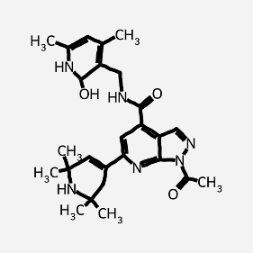 CC(=O)n1ncc2c(C(=O)NCC3=C(C)C=C(C)NC3O)cc(C3=CC(C)(C)NC(C)(C)C3)nc21